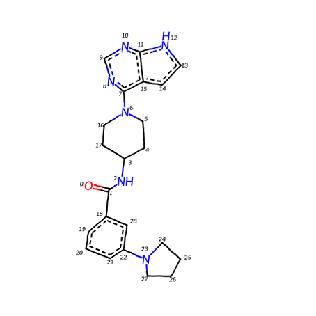 O=C(NC1CCN(c2ncnc3[nH]ccc23)CC1)c1cccc(N2CCCC2)c1